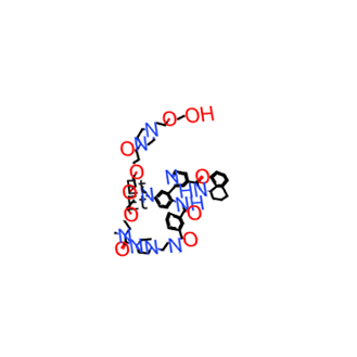 CCN(CC)c1ccc(NC(=O)c2cccc(C(=O)N(C)CCN3CCN(C(=O)N(C)CCOCCOCCOCCC(=O)N4CCN(CCOCCO)CC4)CC3)c2)c(-c2cc(C(=O)N[C@H]3CCCc4ccccc43)ccn2)c1